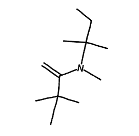 C=C(N(C)C(C)(C)CC)C(C)(C)C